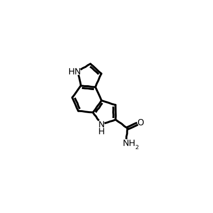 NC(=O)c1cc2c(ccc3[nH]ccc32)[nH]1